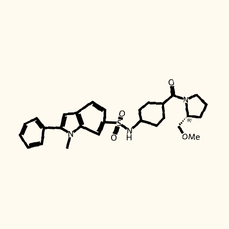 COC[C@H]1CCCN1C(=O)C1CCC(NS(=O)(=O)c2ccc3cc(-c4ccccc4)n(C)c3c2)CC1